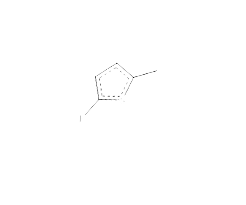 Cc1ccc(F)s1